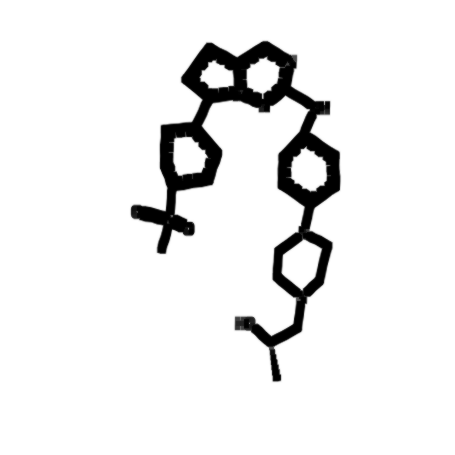 C[C@H](O)CN1CCN(c2ccc(Nc3ncc4ccc(-c5ccc(S(C)(=O)=O)cc5)n4n3)cc2)CC1